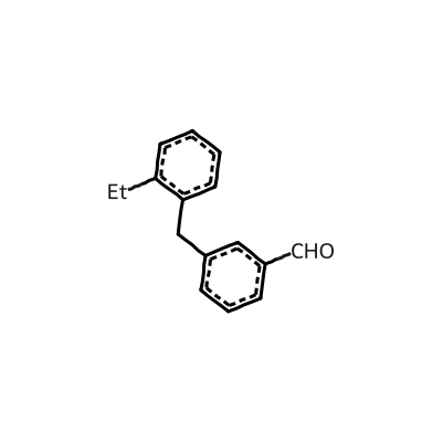 CCc1ccccc1Cc1cccc(C=O)c1